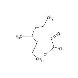 CCOC(C)OCC.O=CC(Cl)Cl